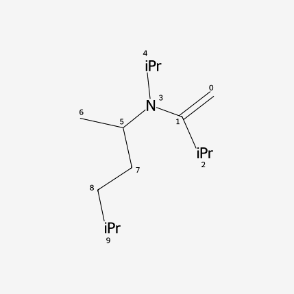 C=C(C(C)C)N(C(C)C)C(C)CCC(C)C